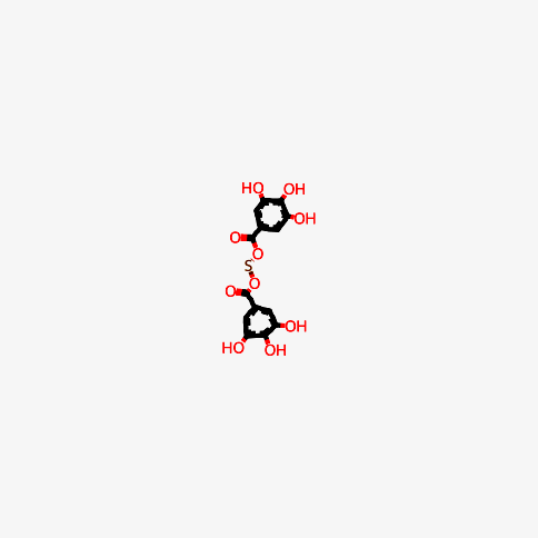 O=C(OSOC(=O)c1cc(O)c(O)c(O)c1)c1cc(O)c(O)c(O)c1